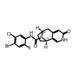 O=C(Nc1cc(Cl)c(Br)cc1F)N1[C@@H]2CC[C@H]1c1c[nH]c(=O)cc1C2